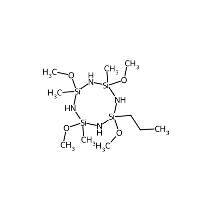 CCC[Si]1(OC)N[Si](C)(OC)N[Si](C)(OC)N[Si](C)(OC)N1